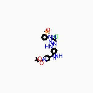 CC(C)(C)OC(=O)N1CC=C(c2n[nH]c3ccc(Nc4ncc(Cl)c(Nc5ccccc5P(C)(C)=O)n4)cc23)CC1